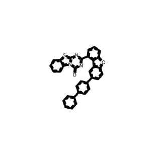 O=c1nc(-c2cccc3oc4ccc(-c5ccc(-c6ccccc6)cc5)cc4c23)nc2sc3ccccc3n12